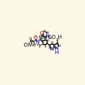 COC1(C(=O)N2CCc3cc(-c4cnc5[nH]cc(C)c5c4)cc(C4COCCN4C(=O)O)c3C2C(C)(C)C)CC1